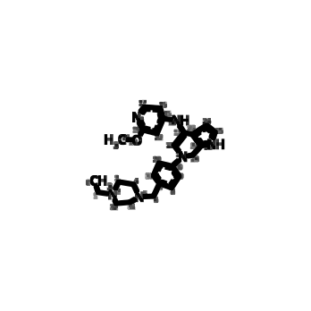 CCN1CCN(Cc2ccc(N3C=C(Nc4ccnc(OC)c4)c4cc[nH]c4C3)cc2)CC1